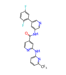 O=C(Nc1cncc(-c2cc(F)ccc2F)c1)c1ccnc(Nc2cccc(C(F)(F)F)n2)c1